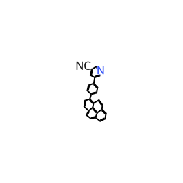 N#Cc1cncc(-c2ccc(-c3ccc4ccc5cccc6ccc3c4c56)cc2)c1